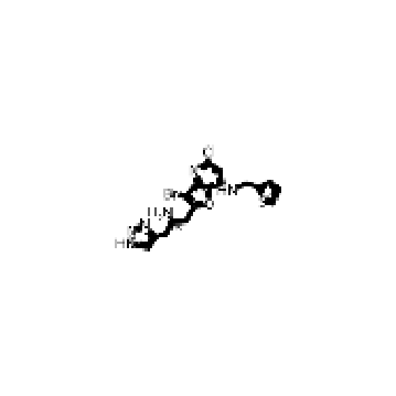 N[C@H](Cc1c[nH]nn1)Cc1oc2c(NCc3cccs3)cc(Cl)nc2c1Br